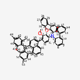 COc1cc(N(c2ccccc2-c2ccccc2)c2cccc3c2oc2ccccc23)ccc1-c1ccc(B(c2c(C)cc(C)cc2C)c2c(C)cc(C)cc2C)c2ccccc12